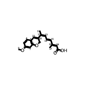 COc1ccc2c(c1)OCC(\C(C)=C/C=C/C(C)=C/C(=O)O)=C2